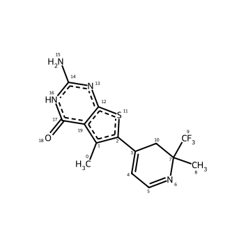 Cc1c(C2=CC=NC(C)(C(F)(F)F)C2)sc2nc(N)[nH]c(=O)c12